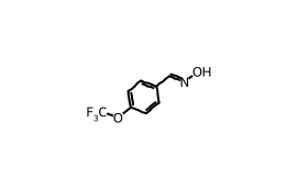 ON=Cc1ccc(OC(F)(F)F)cc1